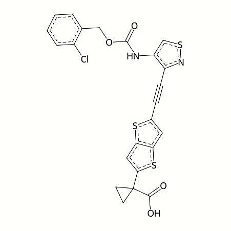 O=C(Nc1csnc1C#Cc1cc2sc(C3(C(=O)O)CC3)cc2s1)OCc1ccccc1Cl